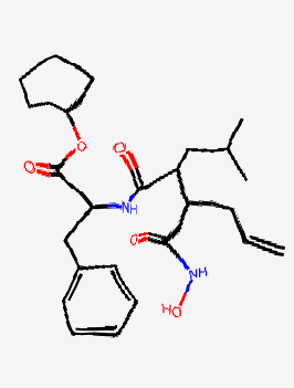 C=CCC(C(=O)NO)C(CC(C)C)C(=O)NC(Cc1ccccc1)C(=O)OC1CCCC1